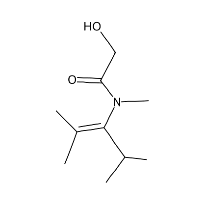 CC(C)=C(C(C)C)N(C)C(=O)CO